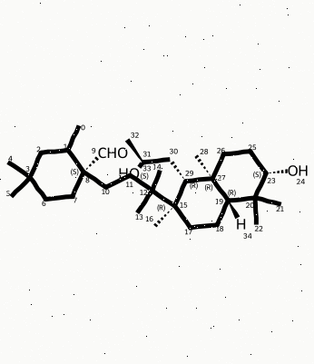 CC1CC(C)(C)CC[C@]1(C=O)CCC(C)(C)[C@]1(C)CC[C@H]2C(C)(C)[C@@H](O)CC[C@]2(C)[C@H]1C[C@H](C)O